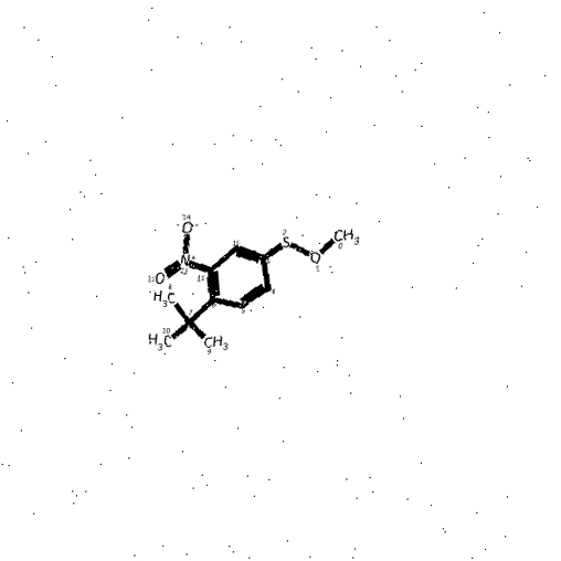 COSc1ccc(C(C)(C)C)c([N+](=O)[O-])c1